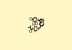 CC(C)C(=O)N1CCN(Cc2ccn3ncc(N4CCC(=O)NC4=O)c3c2)C[C@@H]1C